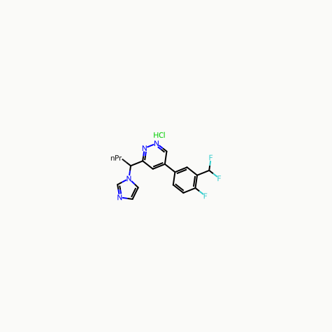 CCCC(c1cc(-c2ccc(F)c(C(F)F)c2)cnn1)n1ccnc1.Cl